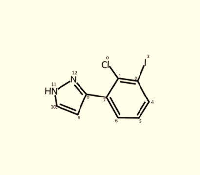 Clc1c(I)cccc1-c1c[c][nH]n1